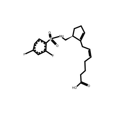 O=C(O)CCC/C=C\CC1=CCC[C@@H]1CNS(=O)(=O)c1ccc(F)cc1F